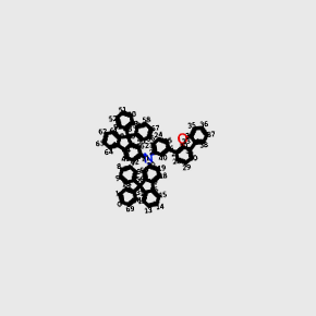 c1ccc(C2(c3ccccc3)c3ccccc3-c3ccc(N(c4cccc(-c5cccc6c5oc5ccccc56)c4)c4ccc5c(c4)C(c4ccccc4)(c4ccccc4)c4ccccc4-5)cc32)cc1